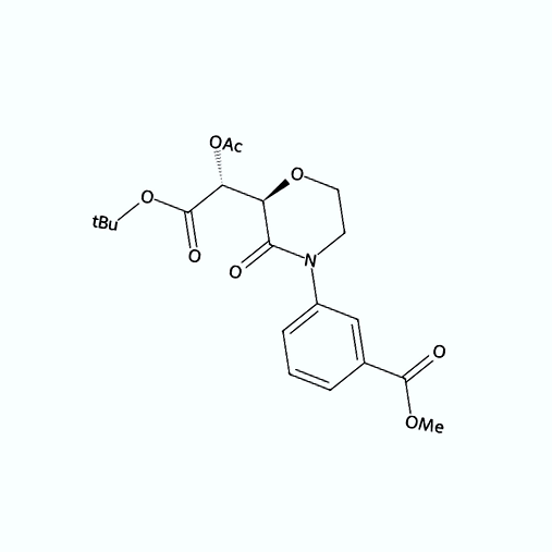 COC(=O)c1cccc(N2CCO[C@H]([C@@H](OC(C)=O)C(=O)OC(C)(C)C)C2=O)c1